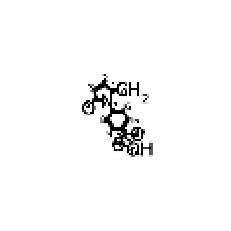 C=C1C=CC(=O)N1c1ccc(S(=O)(=O)O)cc1